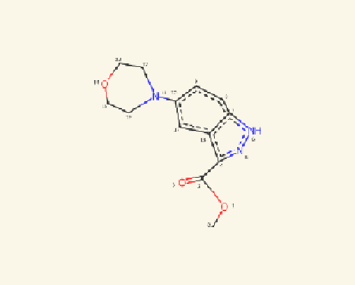 COC(=O)c1n[nH]c2ccc(N3CCOCC3)cc12